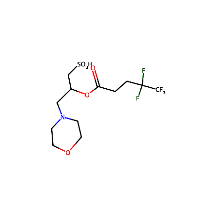 O=C(CCC(F)(F)C(F)(F)F)OC(CN1CCOCC1)CS(=O)(=O)O